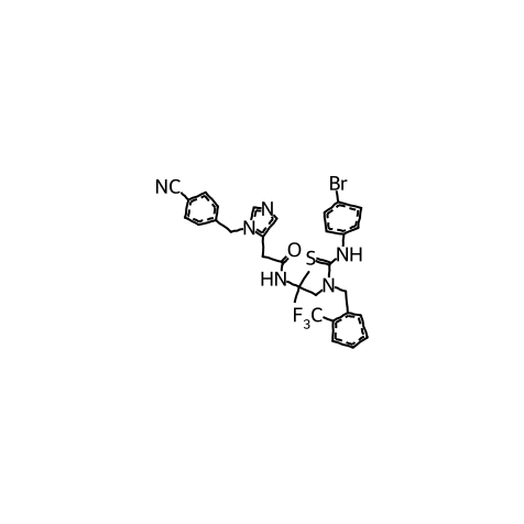 CC(C)(CN(Cc1ccccc1C(F)(F)F)C(=S)Nc1ccc(Br)cc1)NC(=O)Cc1cncn1Cc1ccc(C#N)cc1